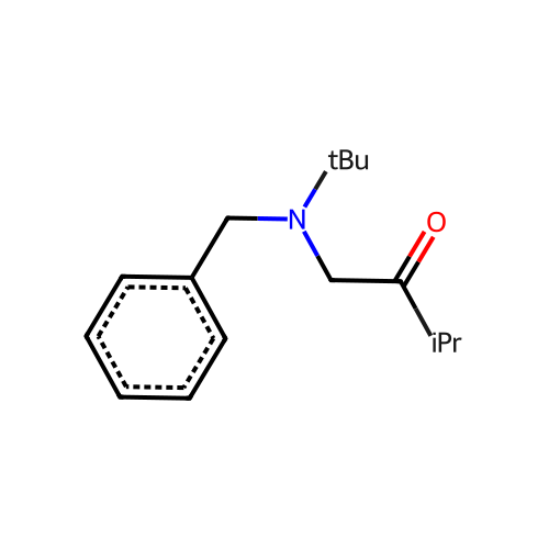 CC(C)C(=O)CN(Cc1ccccc1)C(C)(C)C